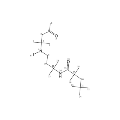 CC(=O)CC(C)(C)N(I)CCC(C)(C)NC(=O)C(C)(C)CC(C)(C)C